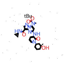 CN(C(=O)OC(C)(C)C)c1cc(Nc2cccn(C3CCC[C@@](C)(O)C3)c2=O)nc2c(C(=O)NC3CC3)cnn12